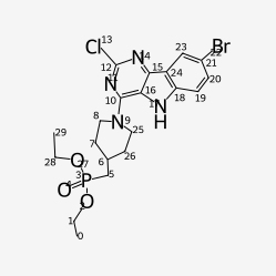 CCOP(=O)(CC1CCN(c2nc(Cl)nc3c2[nH]c2ccc(Br)cc23)CC1)OCC